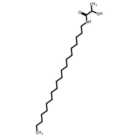 CCCCCCCCCCCCCCCCCCCCNC(=O)C(C)O